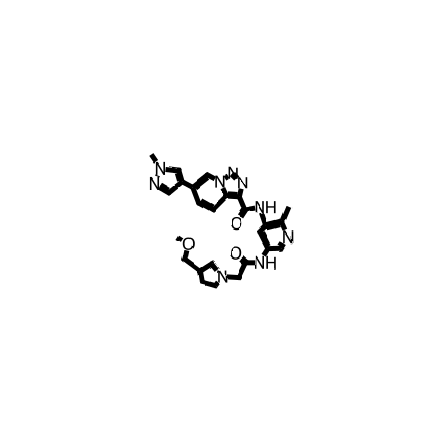 COCC1CCN(CC(=O)Nc2cnc(C)c(NC(=O)c3nnn4cc(-c5cnn(C)c5)ccc34)c2)C1